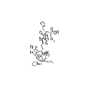 CC[C@H](C)[C@H](NC(=O)[C@H]1CCCCN1)C(=O)N[C@H](CCc1nc(C(=O)N[C@@H](Cc2ccccc2)C[C@H](C)C(=O)O)cs1)C(C)C